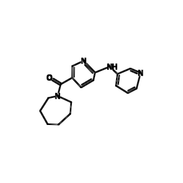 O=C(c1ccc(Nc2cccnc2)nc1)N1CCCCCC1